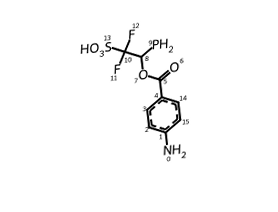 Nc1ccc(C(=O)OC(P)C(F)(F)S(=O)(=O)O)cc1